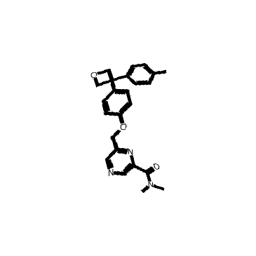 Cc1ccc(C2(c3ccc(OCc4cncc(C(=O)N(C)C)n4)cc3)COC2)cc1